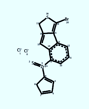 [Cl-].[Cl-].[S]=[Zr+2]([C]1=CC=CC1)[c]1cccc2c1C=C1CSC(Br)=C12